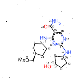 COC[C@H]1CC[C@H](Nc2nc(N[C@H]3CC[C@H](O)C3)ncc2C(N)=O)CC1